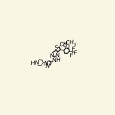 COc1cc(C(F)(F)F)ccc1-c1c(C)sc2cnc(Nc3cnn(C4CCNCC4)c3)nc12